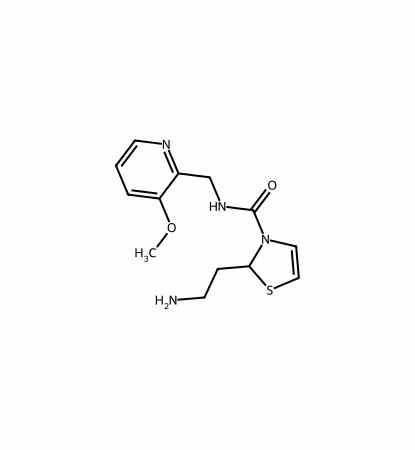 COc1cccnc1CNC(=O)N1C=CSC1CCN